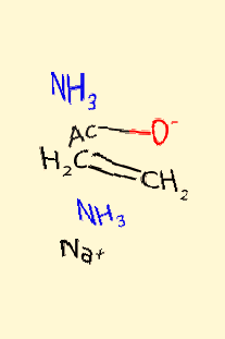 C=C.CC(=O)[O-].N.N.[Na+]